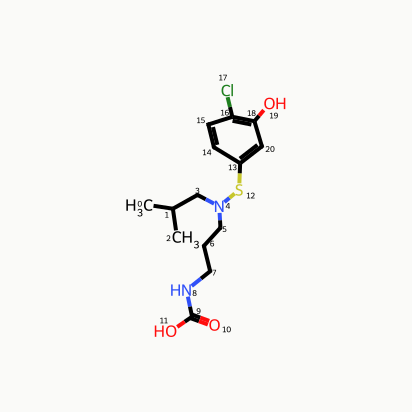 CC(C)CN(CCCNC(=O)O)Sc1ccc(Cl)c(O)c1